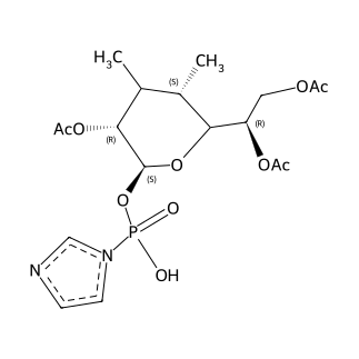 CC(=O)OC[C@@H](OC(C)=O)C1O[C@@H](OP(=O)(O)n2ccnc2)[C@H](OC(C)=O)C(C)[C@@H]1C